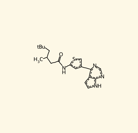 CC(CC(=O)Nc1cc(-c2ncnc3[nH]ccc23)cs1)CC(C)(C)C